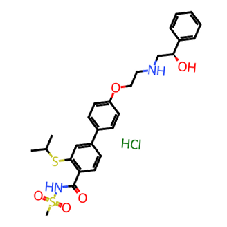 CC(C)Sc1cc(-c2ccc(OCCNC[C@H](O)c3ccccc3)cc2)ccc1C(=O)NS(C)(=O)=O.Cl